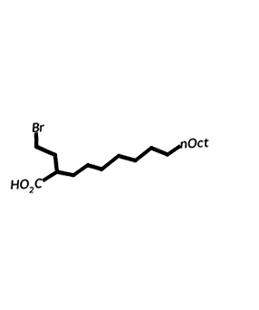 CCCCCCCCCCCCCCCC(CCBr)C(=O)O